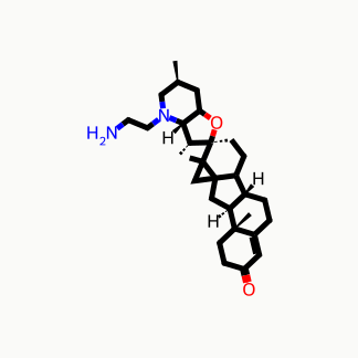 C[C@H]1CC2O[C@]3(CCC4[C@@H]5CCC6=CC(=O)CC[C@]6(C)[C@H]5CC45CC53C)[C@H](C)[C@@H]2N(CCN)C1